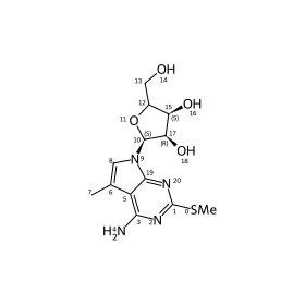 CSc1nc(N)c2c(C)cn([C@H]3OC(CO)[C@@H](O)[C@H]3O)c2n1